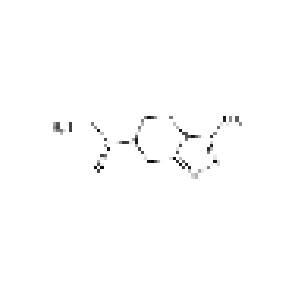 Cc1nnc2n1CCN(C(=O)CN)C2